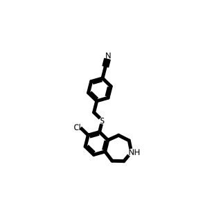 N#Cc1ccc(CSc2c(Cl)ccc3c2CCNCC3)cc1